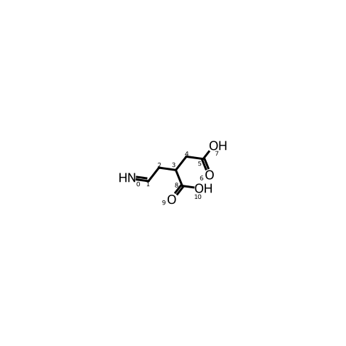 N=CCC(CC(=O)O)C(=O)O